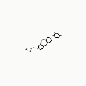 CC1(C)OC[C@H](COc2ccc3c(c2)CCc2cc(Nc4ccc(F)cc4F)ccc2C3=O)O1